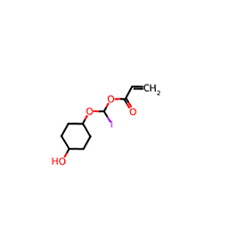 C=CC(=O)OC(I)OC1CCC(O)CC1